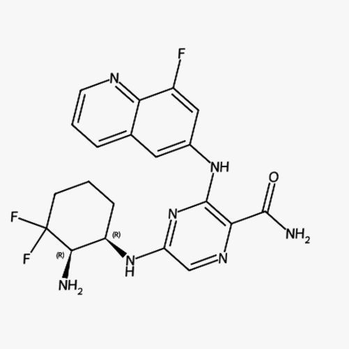 NC(=O)c1ncc(N[C@@H]2CCCC(F)(F)[C@@H]2N)nc1Nc1cc(F)c2ncccc2c1